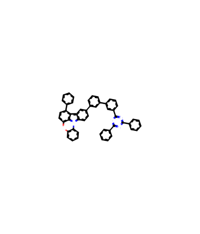 c1ccc(-c2nc(-c3ccccc3)nc(-c3cccc(-c4cccc(-c5ccc6c(c5)c5c(-c7ccccc7)ccc7c5n6-c5ccccc5O7)c4)c3)n2)cc1